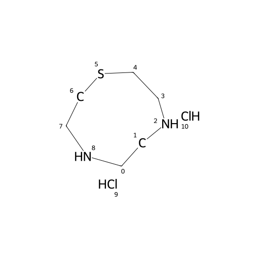 C1CNCCSCCN1.Cl.Cl